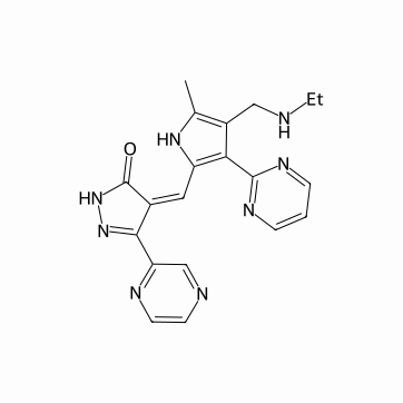 CCNCc1c(C)[nH]c(C=C2C(=O)NN=C2c2cnccn2)c1-c1ncccn1